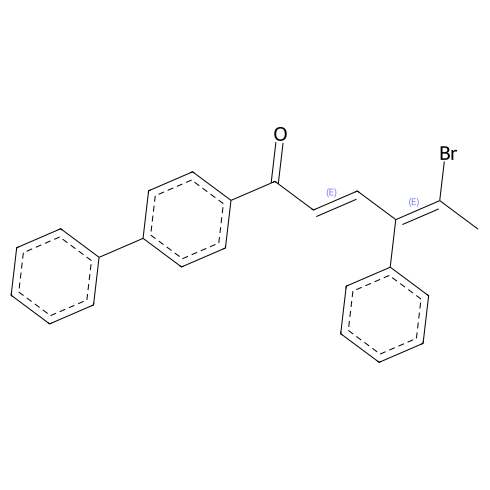 C/C(Br)=C(/C=C/C(=O)c1ccc(-c2ccccc2)cc1)c1ccccc1